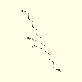 C=CC(=O)O.CCCCCCCCCCCCCCCC